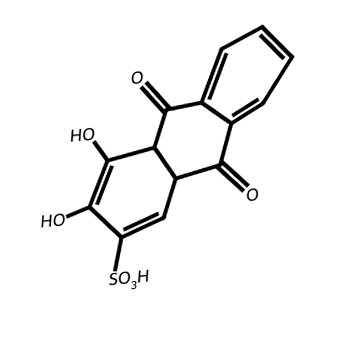 O=C1c2ccccc2C(=O)C2C(O)=C(O)C(S(=O)(=O)O)=CC12